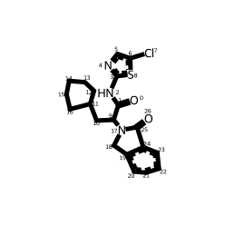 O=C(Nc1ncc(Cl)s1)C(CC1CCCCC1)N1Cc2ccccc2C1=O